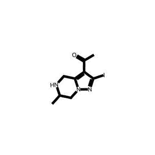 CC(=O)c1c(I)nn2c1CNC(C)C2